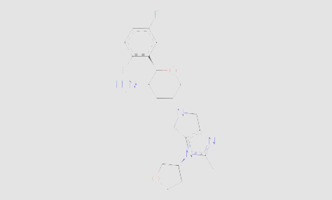 Cc1nc2c(n1[C@H]1CCOC1)CN([C@H]1CO[C@H](c3cc(F)ccc3F)[C@@H](N)C1)C2